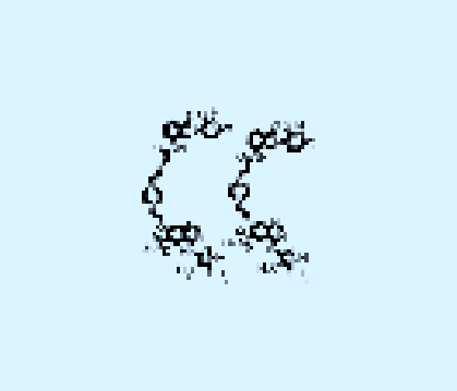 Cc1[nH]nc(Nc2ncnc3cc(OCCN4CCN(CCC(=O)Nc5cccc6c5CN(C5CCC(=O)NC5=O)C6=O)CC4)c(S(=O)(=O)C(C)(C)C)cc23)c1C.Cc1[nH]nc(Nc2ncnc3cc(OCCN4CCN(CCOCC(=O)Nc5cccc6c5CN(C5CCC(=O)NC5=O)C6=O)CC4)c(S(=O)(=O)C(C)(C)C)cc23)c1C